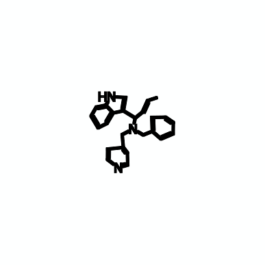 CC=CC(c1c[nH]c2ccccc12)N(Cc1ccccc1)Cc1ccncc1